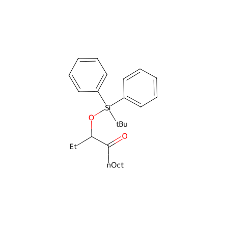 CCCCCCCCC(=O)C(CC)O[Si](c1ccccc1)(c1ccccc1)C(C)(C)C